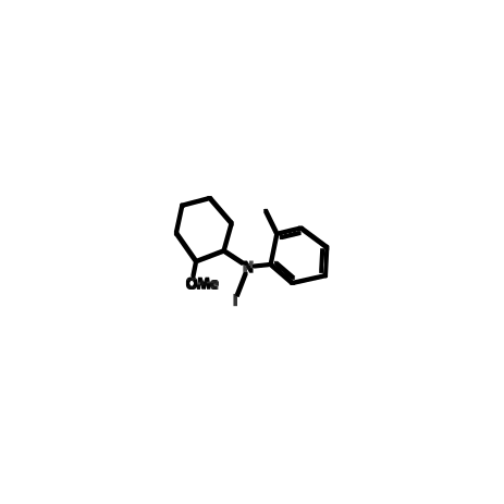 COC1CCCCC1N(I)c1ccccc1C